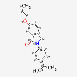 CCCOc1ccc2c(c1)C(=O)N(c1ccc(C(C)C)cc1)C2